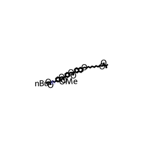 C=C(C)C(=O)OCCCCCCCCOc1ccc2cc(C(=O)Oc3ccc(C(=O)Oc4ccc(/C=C/C(=O)OCCCC)cc4OC)cc3)ccc2c1